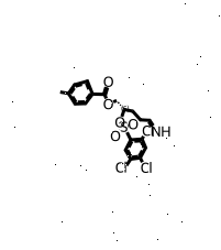 Cc1ccc(C(=O)OC[C@H](CCC=N)OS(=O)(=O)c2cc(Cl)c(Cl)cc2Cl)cc1